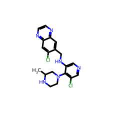 CC1CN(c2c(Cl)cncc2NCc2cc3nccnc3cc2Cl)CCN1